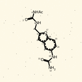 CC(=O)NC(=O)NCc1cc2cc(NC(N)=O)ccc2o1